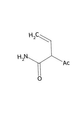 C=CC(C(C)=O)C(N)=O